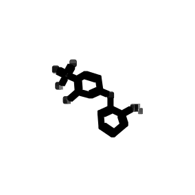 O=S(=O)(Cl)c1ccc(Oc2ccccc2C(F)(F)F)cc1Cl